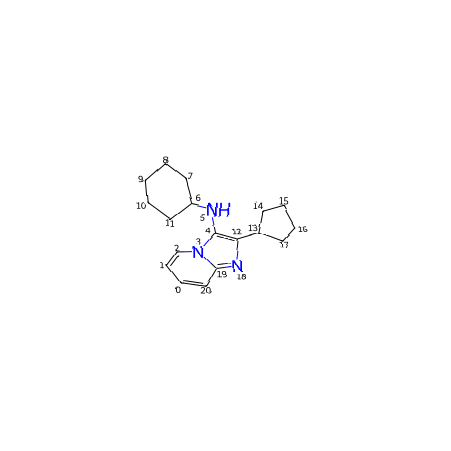 c1ccn2c(NC3CCCCC3)c(C3CCCC3)nc2c1